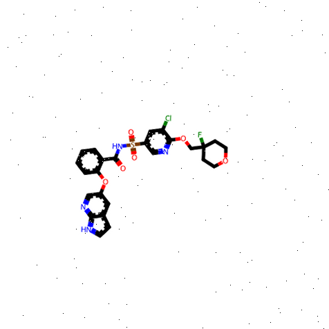 O=C(NS(=O)(=O)c1cnc(OCC2(F)CCOCC2)c(Cl)c1)c1ccccc1Oc1cnc2[nH]ccc2c1